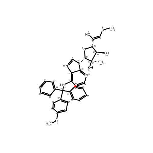 COC=C(O)[C@H]1O[C@@H](n2cnc3c(NC(c4ccccc4)(c4ccccc4)c4ccc(OC)cc4)ncnc32)[C@](C)(O)[C@@H]1O